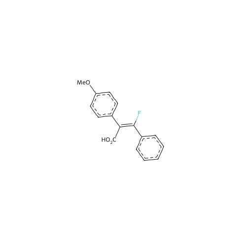 COc1ccc(C(C(=O)O)=C(F)c2ccccc2)cc1